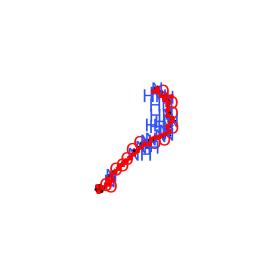 Cn1cc(NC(=O)c2nccn2C)cc1C(=O)NCCC(=O)Nc1cn(C)c(C(=O)Nc2cn(C)c(C(=O)NCCC(=O)Nc3cn(C)c(C(=O)NCCC(=O)NCCOCCOCCOCCN4CCN(C(=O)OCc5ccccc5)CC4)n3)n2)n1